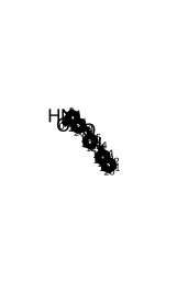 O=c1[nH]ccc2cc(OC3CCCN(Cc4ccc5ccccc5c4)C3)ccc12